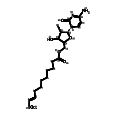 CCCCCCCC/C=C/CCCCCCCC(=O)OCC1O[C@@H](n2ccc(N)nc2=O)C(C)C1O